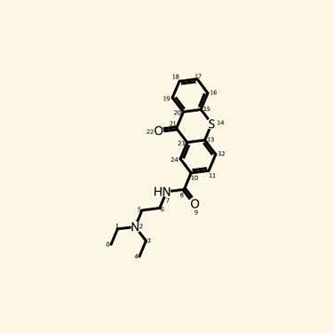 CCN(CC)CCNC(=O)c1ccc2sc3ccccc3c(=O)c2c1